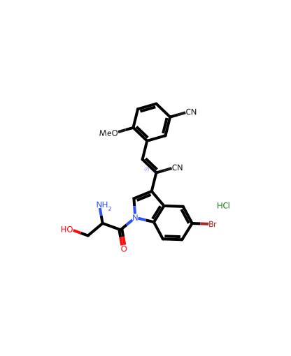 COc1ccc(C#N)cc1/C=C(\C#N)c1cn(C(=O)C(N)CO)c2ccc(Br)cc12.Cl